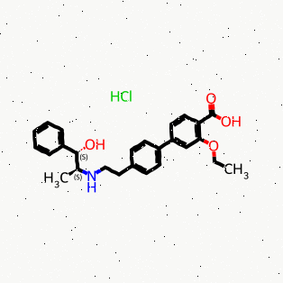 CCOc1cc(-c2ccc(CCN[C@@H](C)[C@@H](O)c3ccccc3)cc2)ccc1C(=O)O.Cl